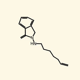 C=CCCCCCNN1Cc2ccccc2C1=C